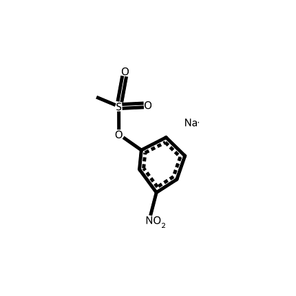 CS(=O)(=O)Oc1cccc([N+](=O)[O-])c1.[Na]